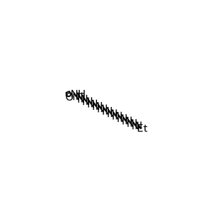 CCN=NN=NN=NN=NN=NN=NN=NN=NN=NN=NN=NN=NN=NNC1CCCO1